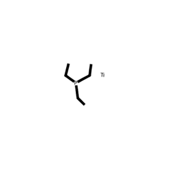 CCP(CC)CC.[Ti]